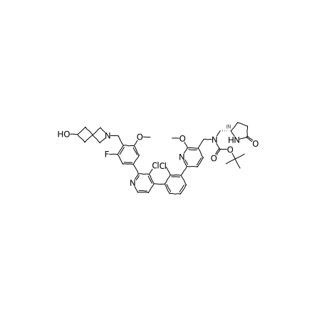 COc1cc(-c2nccc(-c3cccc(-c4ccc(CN(C[C@@H]5CCC(=O)N5)C(=O)OC(C)(C)C)c(OC)n4)c3Cl)c2Cl)cc(F)c1CN1CC2(CC(O)C2)C1